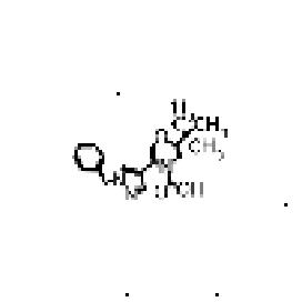 CC(C)(C)C1CN(C(=O)O)C(c2cnn(Cc3ccccc3)c2)=CO1